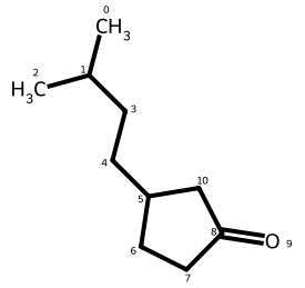 CC(C)CCC1CCC(=O)C1